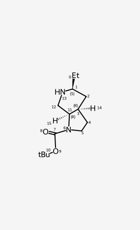 CC[C@H]1C[C@H]2CCN(C(=O)OC(C)(C)C)[C@H]2CN1